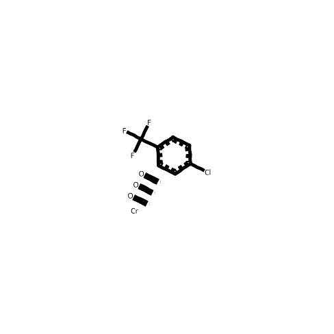 FC(F)(F)c1ccc(Cl)cc1.[C]=O.[C]=O.[C]=O.[Cr]